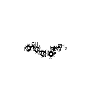 CC(=O)Nc1nc2c(Oc3cc(N4CCN(C(C)c5ccncc5)CC4)ncn3)cccc2s1